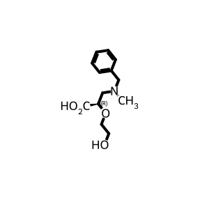 CN(Cc1ccccc1)C[C@@H](OCCO)C(=O)O